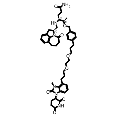 C[C@@H](OCc1ccc(CCCOCCOCCCc2cccc3c2n(C)c(=O)n3C2CCC(=O)NC2=O)cc1)[C@H](CCC(N)=O)NC[C@@H]1Cc2cccc3c2N1C(=O)CCC3